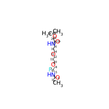 CCC(=O)NCC(F)COCCCOCCCNC(=O)COC(C)C